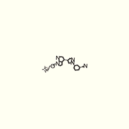 C[Si](C)(C)CCOCn1ccc2c(-c3cnn(-c4cccc(C#N)c4)c3)ccnc21